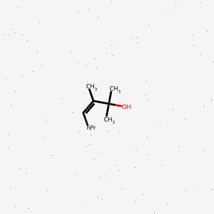 CCCC=C(C)C(C)(C)O